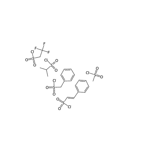 CC(C)S(=O)(=O)Cl.CS(=O)(=O)Cl.O=S(=O)(Cl)C=Cc1ccccc1.O=S(=O)(Cl)CC(F)(F)F.O=S(=O)(Cl)Cc1ccccc1